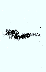 CCN(C)S(=O)(=O)Nc1ccc(F)c(C(=O)c2c[nH]c3ncc(-c4cnc(N5CCC(NC(C)=O)CC5)nc4)cc23)c1F